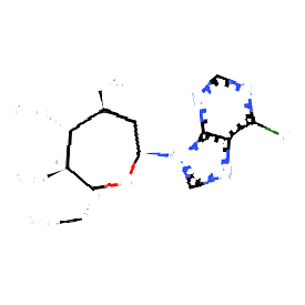 CC(=O)OC[C@H]1O[C@H](n2cnc3c(Cl)ncnc32)C[C@H](OC(C)=O)[C@@H](OC(C)=O)[C@@H]1OC(C)=O